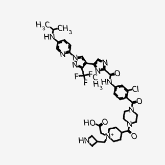 CC(C)Nc1ccc(-n2cc(-c3cnc(C(=O)Nc4ccc(C(=O)N5CCN(C(=O)C6CC[N+](CC(=O)O)(CC7CNC7)CC6)CC5)c(Cl)c4)n3C)c(C(F)(F)F)n2)nc1